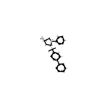 CC(C)(c1ccc(-c2ccccc2)cc1)[C@@H]1C[C@@H](O)CN1c1ccccc1